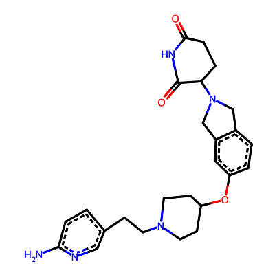 Nc1ccc(CCN2CCC(Oc3ccc4c(c3)CN(C3CCC(=O)NC3=O)C4)CC2)cn1